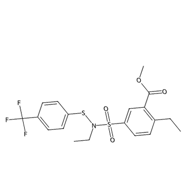 CCc1ccc(S(=O)(=O)N(CC)Sc2ccc(C(F)(F)F)cc2)cc1C(=O)OC